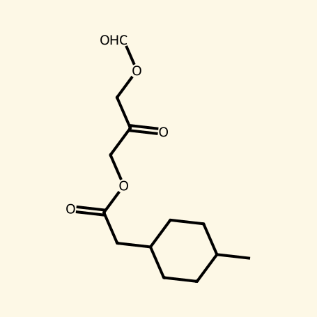 CC1CCC(CC(=O)OCC(=O)COC=O)CC1